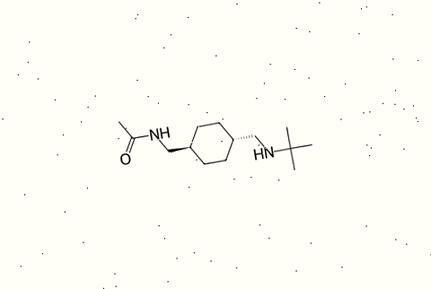 CC(=O)NC[C@H]1CC[C@H](CNC(C)(C)C)CC1